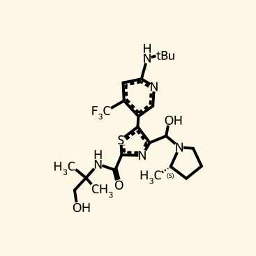 C[C@H]1CCCN1C(O)c1nc(C(=O)NC(C)(C)CO)sc1-c1cnc(NC(C)(C)C)cc1C(F)(F)F